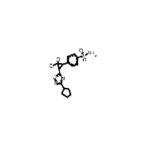 NS(=O)(=O)c1ccc(C2C(c3nc(C4CCCC4)no3)C2(Cl)Cl)cc1